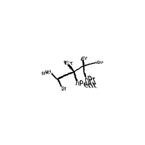 CCCCCC[C](C(C)C)C(CC)(CCCCC)C(CC)(CCC)CCCC